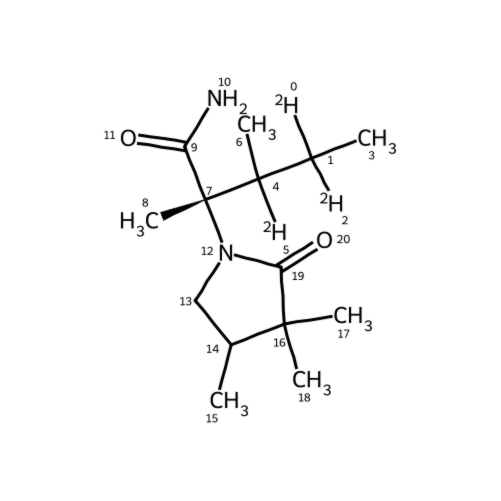 [2H]C([2H])(C)C([2H])(C)[C@@](C)(C(N)=O)N1CC(C)C(C)(C)C1=O